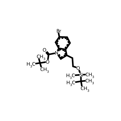 CC(C)(C)OC(=O)n1cc(CCO[Si](C)(C)C(C)(C)C)c2ccc(Br)cc21